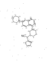 N#CC(c1nccs1)C1CCCN(c2ncnc3cc(N4CCOCC4)ccc23)C1